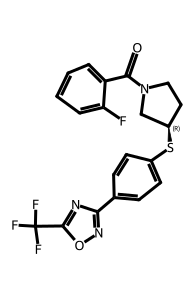 O=C(c1ccccc1F)N1CC[C@@H](Sc2ccc(-c3noc(C(F)(F)F)n3)cc2)C1